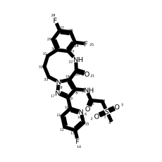 CS(=O)(=O)CC(=O)Nc1c(-c2ccc(F)cn2)nn2c1C(=O)Nc1c(F)cc(F)cc1CCC2